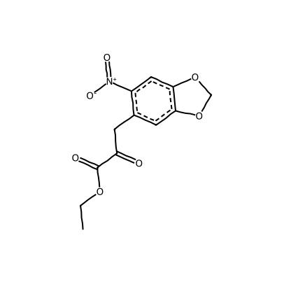 CCOC(=O)C(=O)Cc1cc2c(cc1[N+](=O)[O-])OCO2